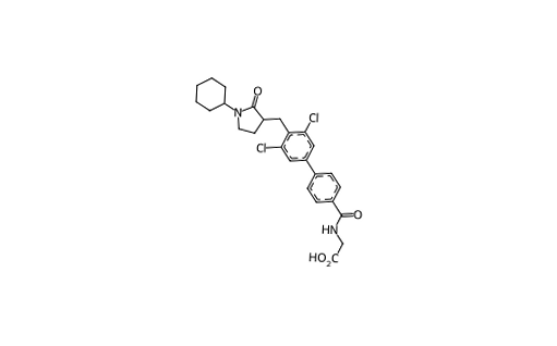 O=C(O)CNC(=O)c1ccc(-c2cc(Cl)c(CC3CCN(C4CCCCC4)C3=O)c(Cl)c2)cc1